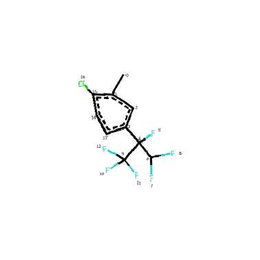 Cc1cc(C(F)(C(F)F)C(F)(F)F)ccc1Cl